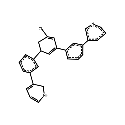 ClC1=CC(c2cccc(-c3cccnc3)c2)=CC(c2cccc(C3=CC=CNC3)c2)C1